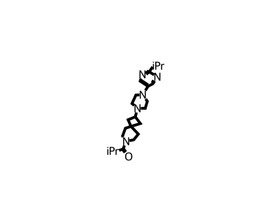 CC(C)C(=O)N1CCC2(CC1)CC(N1CCN(c3cnc(C(C)C)nc3)CC1)C2